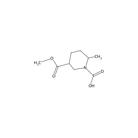 COC(=O)C1CCC(C)N(C(=O)O)C1